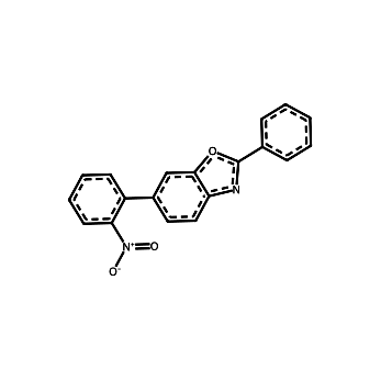 O=[N+]([O-])c1ccccc1-c1ccc2nc(-c3ccccc3)oc2c1